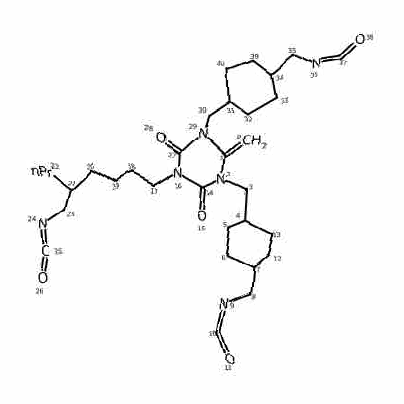 C=C1N(CC2CCC(CN=C=O)CC2)C(=O)N(CCCCC(CCC)CN=C=O)C(=O)N1CC1CCC(CN=C=O)CC1